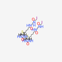 O=C(CI)NCCNC(=O)CCCCC1SC[C@@H]2NC(=O)N[C@H]12.O=C(CI)NCCNC(=O)CCCC[C@@H]1SC[C@@H]2NC(=O)N[C@@H]21